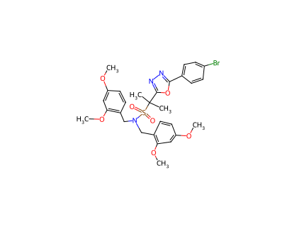 COc1ccc(CN(Cc2ccc(OC)cc2OC)S(=O)(=O)C(C)(C)c2nnc(-c3ccc(Br)cc3)o2)c(OC)c1